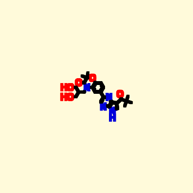 CC(C)(C)C(=O)c1c[nH]c2ncc(-c3ccc4c(c3)N(CC(CO)CO)C(=O)C(C)(C)O4)nc12